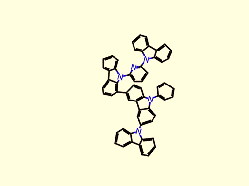 c1ccc(-n2c3ccc(-c4cccc5c6ccccc6n(-c6cccc(-n7c8ccccc8c8ccccc87)n6)c45)cc3c3cc(-n4c5ccccc5c5ccccc54)ccc32)cc1